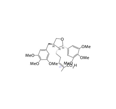 COc1cc(C[C@H]2CO[C@H](c3cc(OC)c(OC)c(OC)c3)[C@@H]2CC/C=C(/C)C(=O)O)cc(OC)c1OC